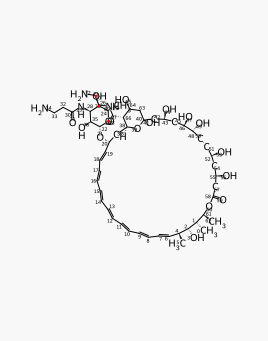 C[C@@H]1[C@H](O)[C@@H](C)/C=C/C=C/C=C/C=C/C=C/C=C/C=C/[C@H](O[C@H]2O[C@@H](C)[C@@H](O)[C@H](NC(=O)CCN)[C@@H]2O)C[C@@H]2OC(O)(C[C@@H](O)C[C@@H](O)[C@H](O)CC[C@@H](O)C[C@@H](O)CC(=O)O[C@H]1C)C[C@H](O)[C@H]2C(=O)NCCN